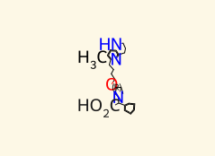 Cc1cc2c(nc1CCCCO[C@@H]1CCN(C(C(=O)O)c3ccccc3)C1)CCCN2